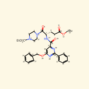 CCOC(=O)N1CCN(C(=O)[C@H](CCC(=O)OC(C)(C)C)NC(=O)c2cc(OCc3ccccc3)nc(-c3ccccc3)n2)CC1